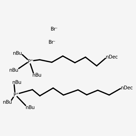 CCCCCCCCCCCCCCCCCC[P+](CCCC)(CCCC)CCCC.CCCCCCCCCCCCCCCC[P+](CCCC)(CCCC)CCCC.[Br-].[Br-]